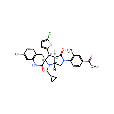 COC(=O)c1ccc(N2C[C@H]3[C@@H](C2=O)[C@H](c2ccc(Cl)s2)[C@@]2(Cc4ccc(Cl)cc4NC2=O)N3CC2CC2)c([N+](=O)[O-])c1